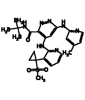 BC(B)(B)NC(=O)c1nnc(Nc2cc(C)ccn2)cc1Nc1ncccc1C1(S(C)(=O)=O)CC1